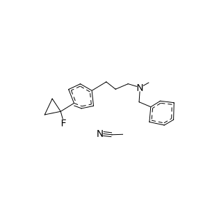 CC#N.CN(CCCc1ccc(C2(F)CC2)cc1)Cc1ccccc1